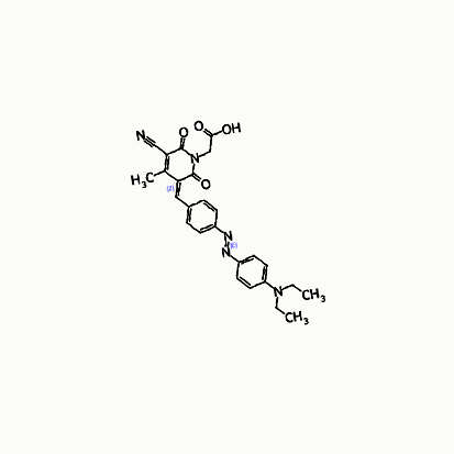 CCN(CC)c1ccc(/N=N/c2ccc(/C=C3\C(=O)N(CC(=O)O)C(=O)C(C#N)=C3C)cc2)cc1